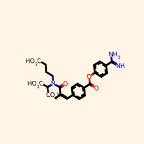 CC(=Cc1ccc(C(=O)Oc2ccc(C(=N)N)cc2)cc1)C(=O)N(CCCC(=O)O)C(C(=O)O)C(=O)O